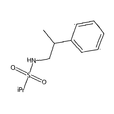 CC(CNS(=O)(=O)C(C)C)c1[c]cc[c]c1